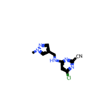 Cn1cc(CNc2cc(Cl)nc(C#N)n2)cn1